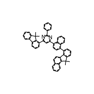 CC1(C)c2ccccc2-c2cccc(-c3cc(-c4ccc(-c5cccc6c5-c5ccc7ccccc7c5C6(C)C)c5ccccc45)nc(-c4ccccc4)n3)c21